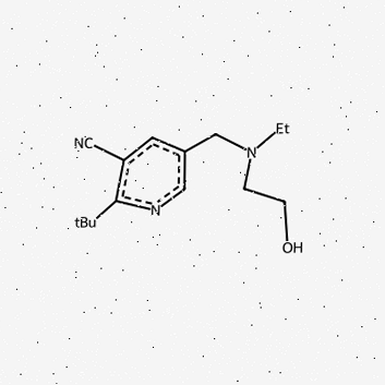 CCN(CCO)Cc1cnc(C(C)(C)C)c(C#N)c1